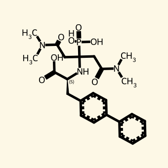 CN(C)C(=O)CC(CC(=O)N(C)C)(N[C@@H](Cc1ccc(-c2ccccc2)cc1)C(=O)O)P(=O)(O)O